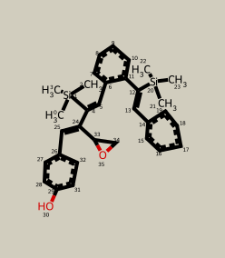 C[Si](C)(C)C(=Cc1ccccc1C(=Cc1ccccc1)[Si](C)(C)C)C(=Cc1ccc(O)cc1)C1CO1